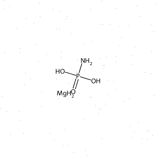 NP(=O)(O)O.[MgH2]